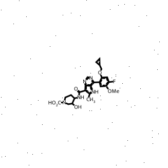 COc1cc(-c2ncnc3c(C(=O)NC4CCN(C(=O)O)CC4O)c(C)[nH]c23)c(OCC2CC2)cc1F